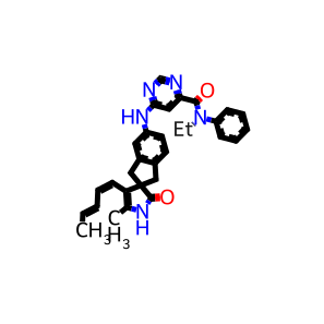 CC=C/C=C\C1=C(C)NC(=O)C12Cc1ccc(Nc3cc(C(=O)N(CC)c4ccccc4)ncn3)cc1C2